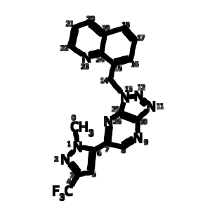 Cn1nc(C(F)(F)F)cc1-c1cnc2nnn(Cc3cccc4cccnc34)c2n1